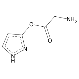 NCC(=O)Oc1cc[nH]n1